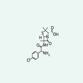 CC1(C)S[C@H]2N(C(=O)C2(C)NC(=O)C(N)c2ccc(Cl)cc2)[C@H]1C(=O)O